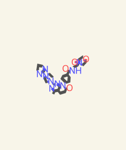 Cc1nc(N2CCN(c3ncccn3)CC2)nc2c1ccc(=O)n2-c1ccc(C(=O)NCC[N+]2([O-])CCOCC2)cc1